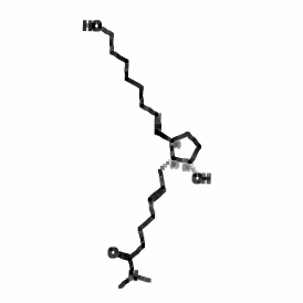 CN(C)C(=O)CCCC=CC[C@H]1[C@@H](O)CC[C@@H]1C=CCCCCCCO